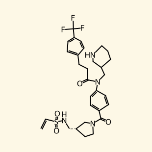 C=CS(=O)(=O)NC[C@H]1CCN(C(=O)c2ccc(N(CC3CCCNC3)C(=O)CCc3ccc(C(F)(F)F)cc3)cc2)C1